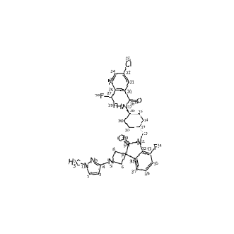 Cn1ccc(N2CC3(C2)C(=O)N(C[C@H]2CC[C@H](NC(=O)c4cc(Cl)cnc4C(F)F)CC2)c2c(F)cccc23)n1